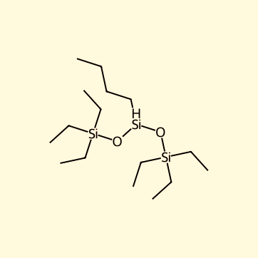 CCCC[SiH](O[Si](CC)(CC)CC)O[Si](CC)(CC)CC